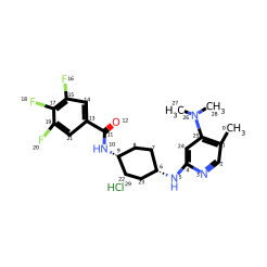 Cc1cnc(N[C@H]2CC[C@@H](NC(=O)c3cc(F)c(F)c(F)c3)CC2)cc1N(C)C.Cl